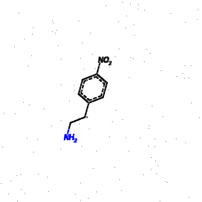 NC[CH]c1ccc([N+](=O)[O-])cc1